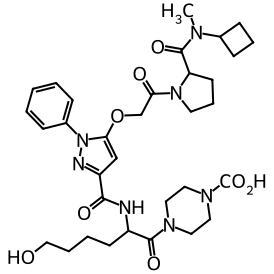 CN(C(=O)C1CCCN1C(=O)COc1cc(C(=O)NC(CCCCO)C(=O)N2CCN(C(=O)O)CC2)nn1-c1ccccc1)C1CCC1